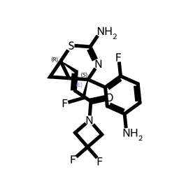 NC1=N[C@](CF)(c2cc(N)ccc2F)C2C[C@]2(/C=C/C(=O)N2CC(F)(F)C2)S1